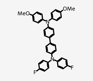 COc1ccc(N(c2ccc(OC)cc2)c2ccc(-c3ccc(N(c4ccc(F)cc4)c4ccc(F)cc4)cc3)cc2)cc1